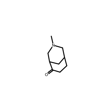 CN1CC2CCC(=O)C(C2)C1